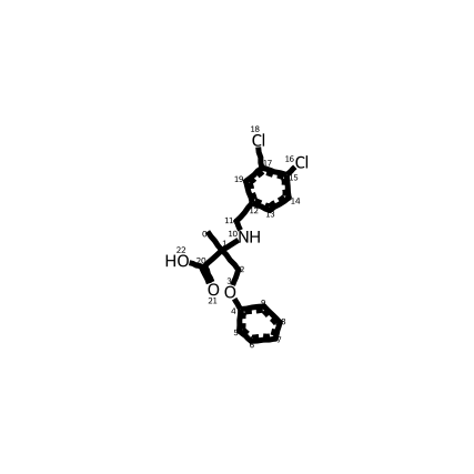 CC(COc1ccccc1)(NCc1ccc(Cl)c(Cl)c1)C(=O)O